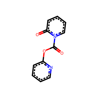 O=C(Oc1ccccn1)n1ccccc1=O